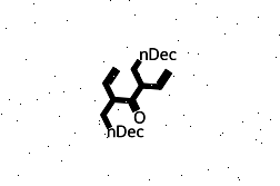 C=CC(CCCCCCCCCCC)C(=O)C(C=C)CCCCCCCCCCC